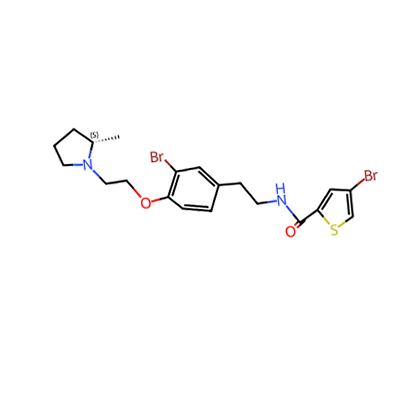 C[C@H]1CCCN1CCOc1ccc(CCNC(=O)c2cc(Br)cs2)cc1Br